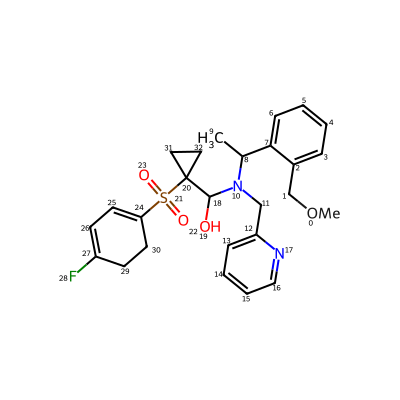 COCc1ccccc1C(C)N(Cc1ccccn1)C(O)C1(S(=O)(=O)C2=CC=C(F)CC2)CC1